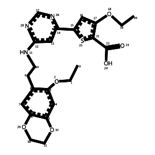 CCOc1cc2c(cc1CCNc1cc(-c3cc(OCC)c(C(=O)O)s3)ncn1)OCCO2